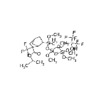 CO[Si](CCCC(O)(C(F)(F)F)C(F)(F)F)(O[Si](OC)(OC)OC)O[Si](C)(OC)C1CC2CC1C(C(=O)OC(C)C)(C(F)(F)F)C2